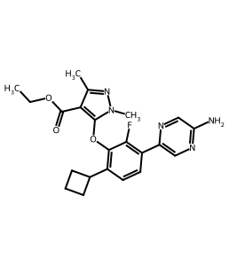 CCOC(=O)c1c(C)nn(C)c1Oc1c(C2CCC2)ccc(-c2cnc(N)cn2)c1F